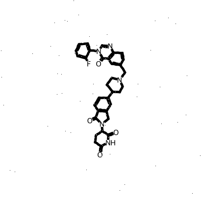 O=C1CCC(N2Cc3cc(C4CCN(Cc5ccc6ncn(-c7ccccc7F)c(=O)c6c5)CC4)ccc3C2=O)C(=O)N1